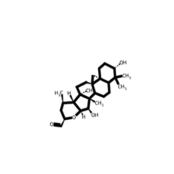 C[C@@H]1C[C@H](C=O)O[C@H]2[C@H]1[C@@]1(C)CC[C@@]34C[C@@]35CC[C@H](O)C(C)(C)C5CCC4[C@]1(C)[C@H]2O